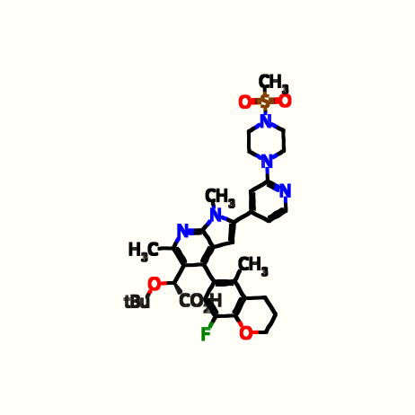 Cc1nc2c(cc(-c3ccnc(N4CCN(S(C)(=O)=O)CC4)c3)n2C)c(-c2cc(F)c3c(c2C)CCCO3)c1[C@H](OC(C)(C)C)C(=O)O